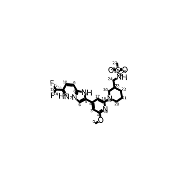 COc1cc(-c2cnc(/C=C\C(=N)C(F)F)[nH]2)cc(N2CCCC(CNS(C)(=O)=O)C2)n1